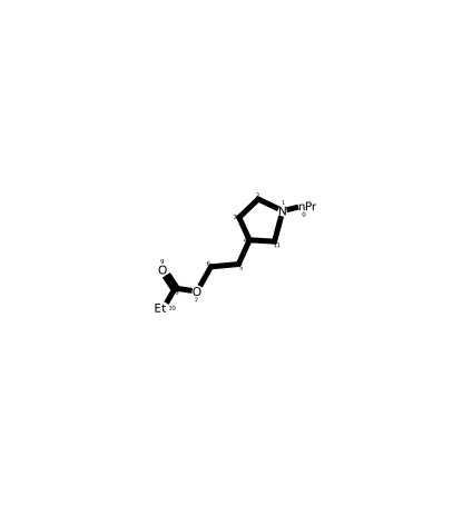 [CH2]CCN1CCC(CCOC(=O)CC)C1